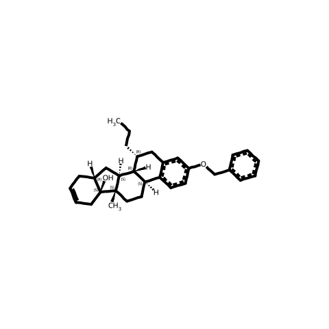 CCC[C@@H]1Cc2cc(OCc3ccccc3)ccc2[C@H]2CC[C@@]3(C)[C@@H](C[C@H]4CC=CC[C@]43O)[C@H]12